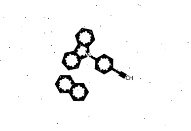 C#Cc1ccc(-n2c3ccccc3c3ccccc32)cc1.c1ccc2ccccc2c1